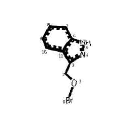 BrOCc1n[nH]c2ccccc12